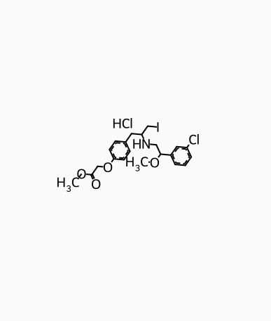 COC(=O)COc1ccc(CC(CI)NCC(OC)c2cccc(Cl)c2)cc1.Cl